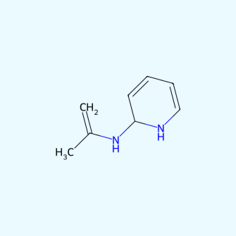 C=C(C)NC1C=CC=CN1